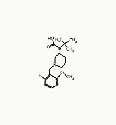 COc1cccc(F)c1CN1CCC[C@@H](N(C(=O)O)C(C)(C)C)C1